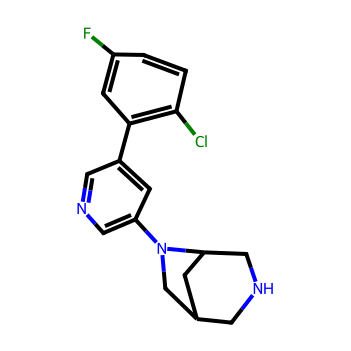 Fc1ccc(Cl)c(-c2cncc(N3CC4CNCC3C4)c2)c1